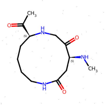 CN[C@H]1CC(=O)NCCCC[C@@H](C(C)=O)NCC1=O